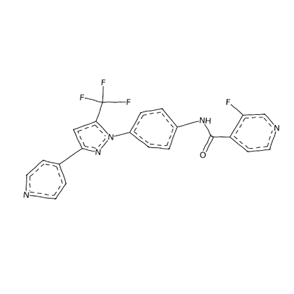 O=C(Nc1ccc(-n2nc(-c3ccncc3)cc2C(F)(F)F)cc1)c1ccncc1F